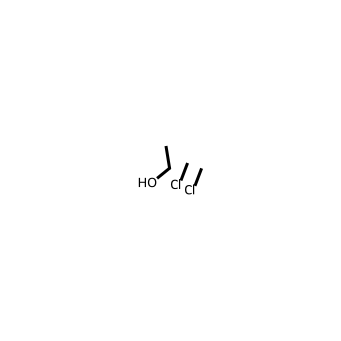 CCO.CCl.CCl